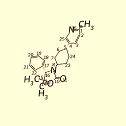 Cc1ccc([C@H]2CC[C@H](N3C(=O)OC(C)(C)[C@@H]3c3ccccc3)CC2)cn1